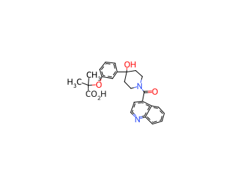 CC(C)(Oc1cccc(C2(O)CCN(C(=O)c3ccnc4ccccc34)CC2)c1)C(=O)O